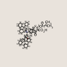 CC(C)=CC(=O)OCC1=C(C(=O)O)N2C(=O)[C@@H](NC(=O)/C(=N\OC(c3ccccc3)(c3ccccc3)c3ccccc3)c3csc(NC(c4ccccc4)(c4ccccc4)c4ccccc4)n3)[C@H]2SC1